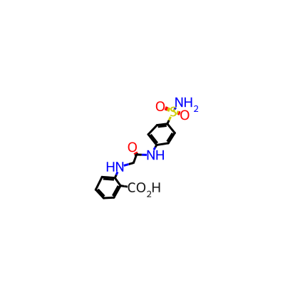 NS(=O)(=O)c1ccc(NC(=O)CNc2ccccc2C(=O)O)cc1